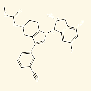 COC(=O)ON1CCc2c(c(-c3cccc(C#N)c3)nn2[C@@H]2c3cc(F)cc(F)c3C[C@H]2O)C1